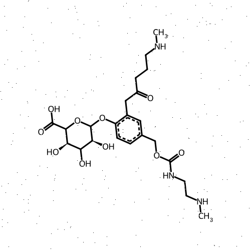 CNCCCC(=O)Cc1cc(COC(=O)NCCNC)ccc1OC1OC(C(=O)O)[C@H](O)C(O)[C@@H]1O